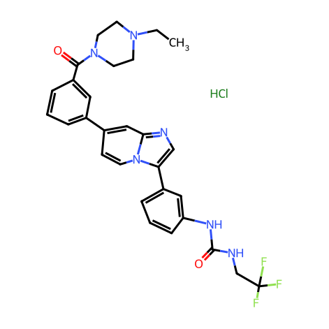 CCN1CCN(C(=O)c2cccc(-c3ccn4c(-c5cccc(NC(=O)NCC(F)(F)F)c5)cnc4c3)c2)CC1.Cl